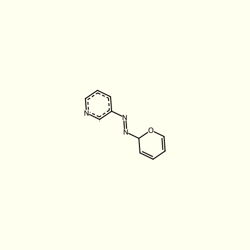 [c]1ncccc1N=NC1C=CC=CO1